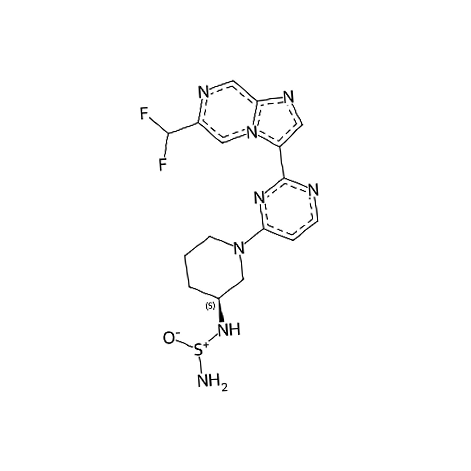 N[S+]([O-])N[C@H]1CCCN(c2ccnc(-c3cnc4cnc(C(F)F)cn34)n2)C1